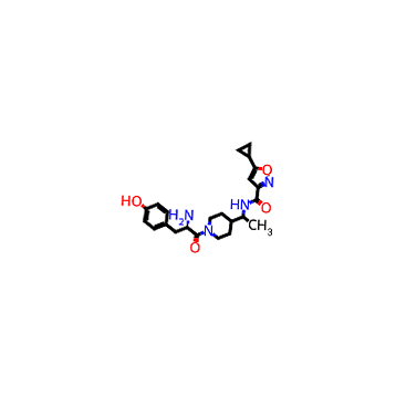 CC(NC(=O)c1cc(C2CC2)on1)C1CCN(C(=O)[C@H](N)Cc2ccc(O)cc2)CC1